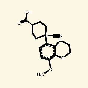 COc1ccc([C@]2(C#N)CC[C@@H](C(=O)O)CC2)c2c1OCCO2